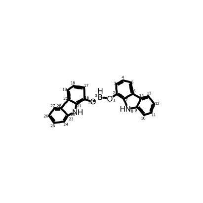 B(Oc1cccc2c1[nH]c1ccccc12)Oc1cccc2c1[nH]c1ccccc12